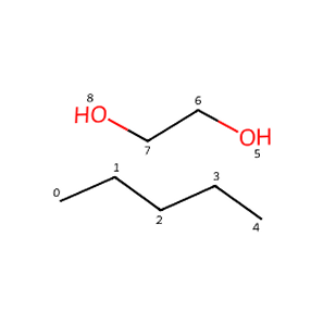 CCCCC.OCCO